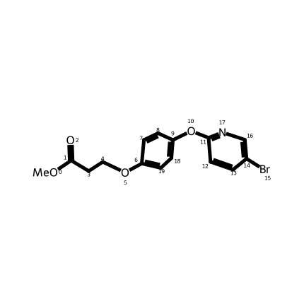 COC(=O)CCOc1ccc(Oc2ccc(Br)cn2)cc1